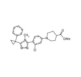 COC(=O)C1CCN(c2ccc(-c3nnc(C4(c5ccccc5)CC4)n3C)c(Cl)c2)CC1